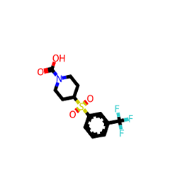 O=C(O)N1CCC(S(=O)(=O)c2cccc(C(F)(F)F)c2)CC1